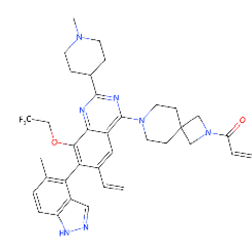 C=CC(=O)N1CC2(CCN(c3nc(C4CCN(C)CC4)nc4c(OCC(F)(F)F)c(-c5c(C)ccc6[nH]ncc56)c(C=C)cc34)CC2)C1